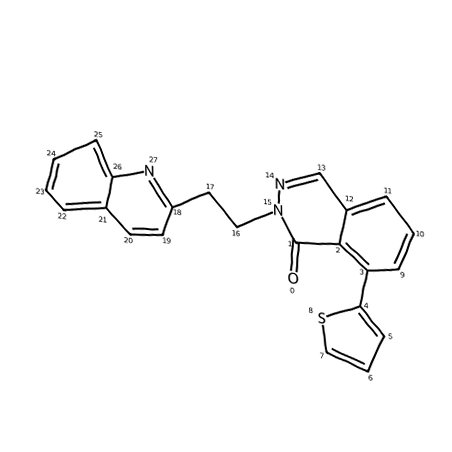 O=c1c2c(-c3cccs3)cccc2cnn1CCc1ccc2ccccc2n1